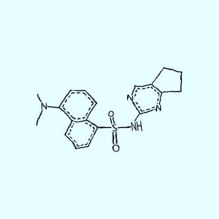 CN(C)c1cccc2c(S(=O)(=O)Nc3ncc4c(n3)CCC4)cccc12